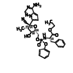 CCOC(=O)[C@H](Cc1ccccc1)NP(=O)(OC[C@H]1O[C@@](C#N)(c2ccc3c(N)ncnn23)[C@@H](C)[C@@H]1O)Oc1ccccc1